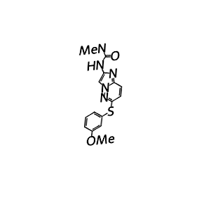 CNC(=O)Nc1cn2nc(Sc3cccc(OC)c3)ccc2n1